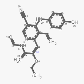 C=Cc1c(/C=C(/OCC)C(=C)NC=O)ncc(C#N)c1Nc1ccc(O)cc1